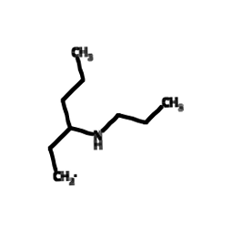 [CH2]CC(CCC)NCCC